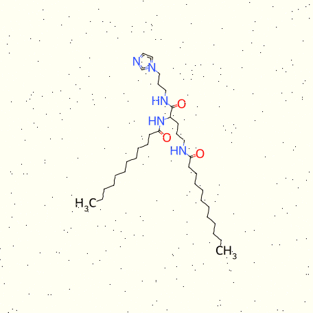 CCCCCCCCCCCC(=O)NCCCC(NC(=O)CCCCCCCCCCC)C(=O)NCCCn1ccnc1